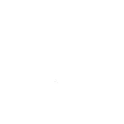 O=Cc1cc(-c2cncc3ccccc23)cc(F)c1O